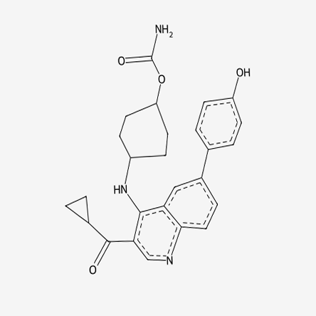 NC(=O)OC1CCC(Nc2c(C(=O)C3CC3)cnc3ccc(-c4ccc(O)cc4)cc23)CC1